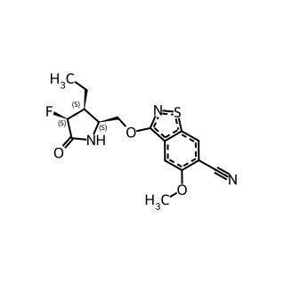 CC[C@@H]1[C@H](F)C(=O)N[C@@H]1COc1nsc2cc(C#N)c(OC)cc12